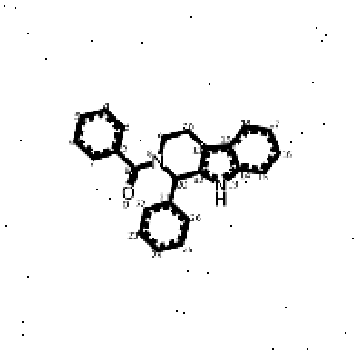 O=C(c1ccccc1)N1CCc2c([nH]c3ccccc23)C1c1ccccc1